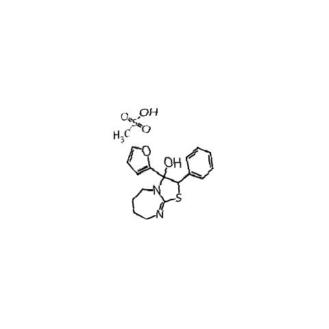 CS(=O)(=O)O.OC1(c2ccco2)C(c2ccccc2)SC2=NCCCCN21